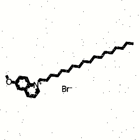 CCCCCCCCCCCCCCCCCC[n+]1cccc2cc(OC)ccc21.[Br-]